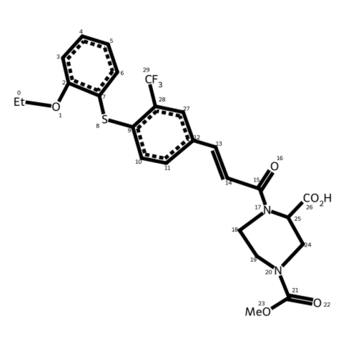 CCOc1ccccc1Sc1ccc(C=CC(=O)N2CCN(C(=O)OC)CC2C(=O)O)cc1C(F)(F)F